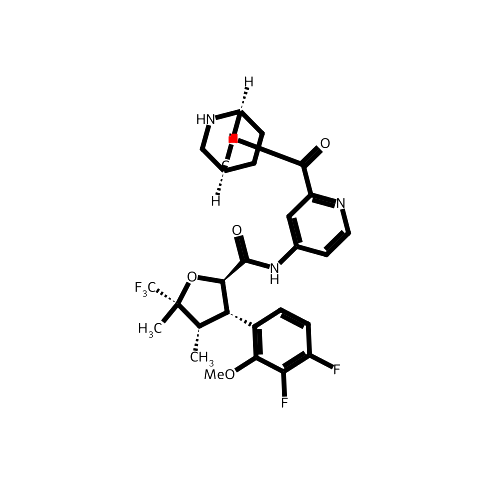 COc1c([C@H]2[C@H](C(=O)Nc3ccnc(C(=O)N4C[C@H]5CC[C@@H](C4)NC5)c3)O[C@@](C)(C(F)(F)F)[C@H]2C)ccc(F)c1F